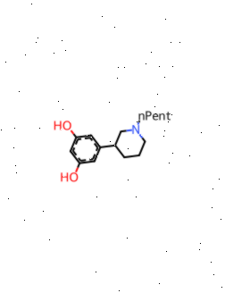 CCCCCN1CCCC(c2cc(O)cc(O)c2)C1